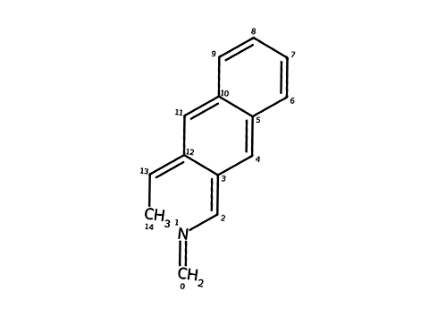 C=N/C=c1/cc2ccccc2c/c1=C/C